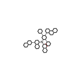 c1ccc(-c2cc(N(c3ccc4ccccc4c3)c3ccc(-c4ccc5ccccc5c4)c4ccccc34)c(-c3ccccc3)cc2-c2cccc3c2ccc2ccccc23)cc1